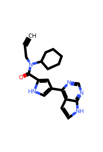 C#CCN(C(=O)c1cc(-c2ncnc3[nH]ccc23)c[nH]1)C1CCCCC1